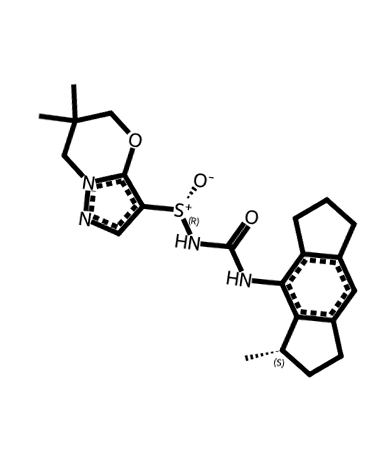 C[C@H]1CCc2cc3c(c(NC(=O)N[S@@+]([O-])c4cnn5c4OCC(C)(C)C5)c21)CCC3